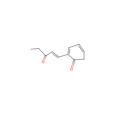 CCC(=O)C=CC1=CC=CCC1=O